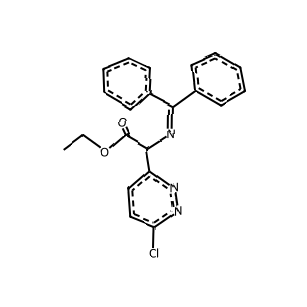 CCOC(=O)C(N=C(c1ccccc1)c1ccccc1)c1ccc(Cl)nn1